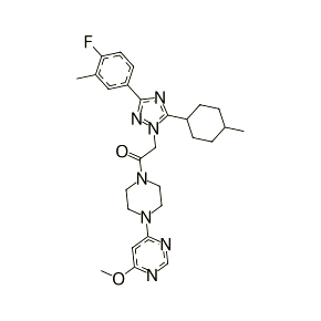 COc1cc(N2CCN(C(=O)Cn3nc(-c4ccc(F)c(C)c4)nc3C3CCC(C)CC3)CC2)ncn1